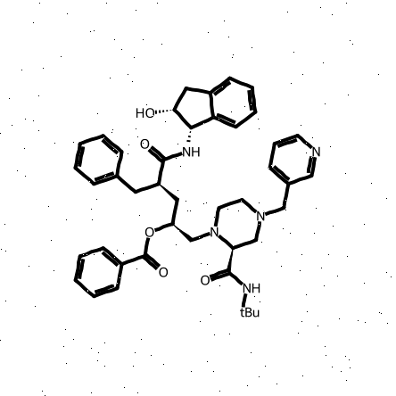 CC(C)(C)NC(=O)[C@@H]1CN(Cc2cccnc2)CCN1C[C@H](C[C@@H](Cc1ccccc1)C(=O)N[C@H]1c2ccccc2C[C@H]1O)OC(=O)c1ccccc1